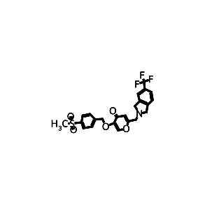 CS(=O)(=O)c1ccc(COc2coc(CN3Cc4ccc(C(F)(F)F)cc4C3)cc2=O)cc1